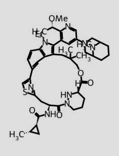 CCn1c(-c2cc(N3CC4CCCC(C3)N4C)cnc2[C@H](C)OC)c2c3cc(ccc31)-c1csc(n1)C[C@H](NC(=O)[C@H]1C[C@@H]1C)C(=O)N1CCC[C@H](N1)C(=O)OCC(C)(C)C2